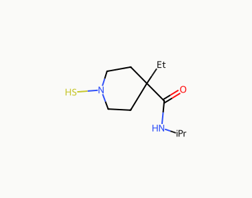 CCC1(C(=O)NC(C)C)CCN(S)CC1